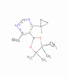 COc1ncnc(C2(F)CC2)c1B1OC(C)(C)C(C)(C)O1